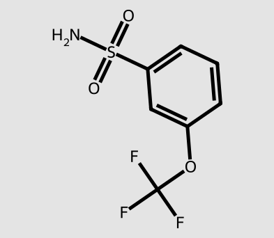 NS(=O)(=O)c1cccc(OC(F)(F)F)c1